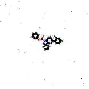 Cc1cc(F)ccc1-c1ccc2c(n1)C1(CCCC1)CN2C(=O)Oc1ccccc1